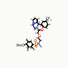 COc1c(C)cc(S(=O)(=O)N(C)CCOCC(=O)N2CCn3cccc3C2c2cccc(C(F)(F)F)c2)c(C)c1C